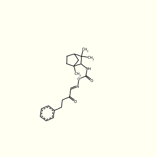 CC12CCC(C1)C(C)(C)C2NC(=O)ON=CC(=O)CCc1ccccc1